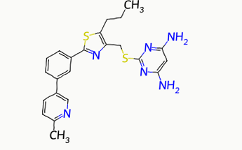 CCCc1sc(-c2cccc(-c3ccc(C)nc3)c2)nc1CSc1nc(N)cc(N)n1